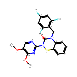 COc1cnc(N2Sc3ccccc3N(Cc3c(F)cc(F)cc3F)C2=O)nc1OC